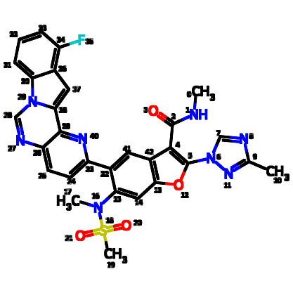 CNC(=O)c1c(-n2cnc(C)n2)oc2cc(N(C)S(C)(=O)=O)c(-c3ccc4ncn5c6cccc(F)c6cc5c4n3)cc12